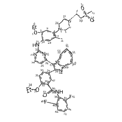 CCOc1cc(N2CCC(CCS(C)(=O)=O)CC2)c(C)cc1Nc1nccc(-c2c(-c3ccc(OCC)c(C(=O)Nc4c(F)cccc4F)c3)nc3ccccn23)n1